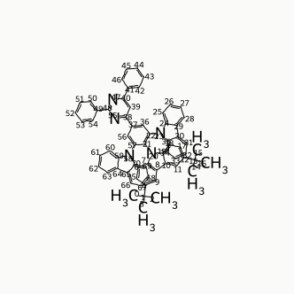 CC(C)(C)c1ccc2c(c1)c1cc(C(C)(C)C)ccc1n2-c1c(-n2c3ccccc3c3ccccc32)cc(-c2cc(-c3ccccc3)nc(-c3ccccc3)n2)cc1-n1c2ccccc2c2ccccc21